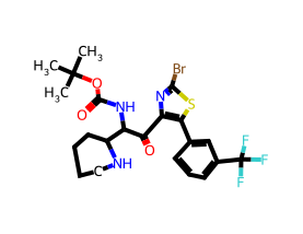 CC(C)(C)OC(=O)NC(C(=O)c1nc(Br)sc1-c1cccc(C(F)(F)F)c1)C1CCCCN1